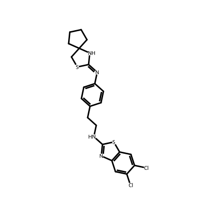 Clc1cc2nc(NCCc3ccc(/N=C4/NC5(CCCC5)CS4)cc3)sc2cc1Cl